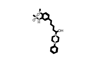 CSc1ccc(CCCCC(O)N2CCN(c3ccccc3)CC2)cc1NS(C)(=O)=O